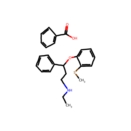 CCNCCC(Oc1ccccc1SC)c1ccccc1.O=C(O)c1ccccc1